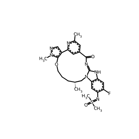 Cc1cc2cc(n1)-c1cnn(C)c1OCCC[C@@H](C)CN1/C(=N/C2=O)Nc2cc(F)c(N=S(C)(C)=O)cc21